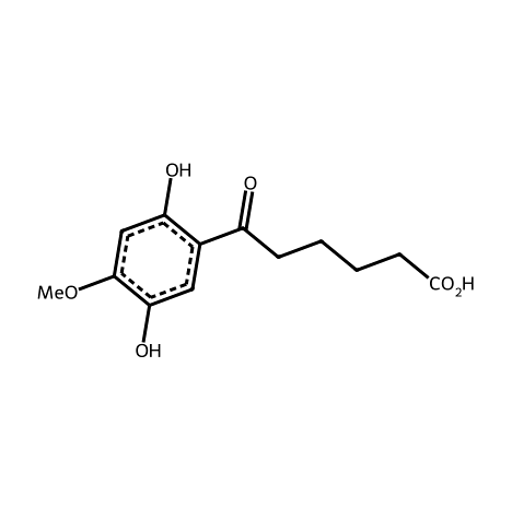 COc1cc(O)c(C(=O)CCCCC(=O)O)cc1O